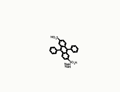 O=S(=O)(O)c1ccc2c(-c3ccccc3)c3cc(S(=O)(=O)O)ccc3c(-c3ccccc3)c2c1.[NaH].[NaH]